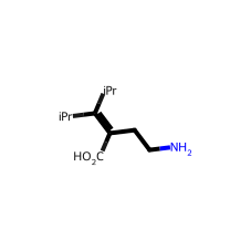 CC(C)C(=C(CCN)C(=O)O)C(C)C